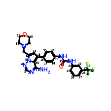 Nc1ncnn2c(CN3CCOCC3)cc(-c3ccc(NC(=O)Nc4cccc(C(F)(F)F)c4)cc3)c12